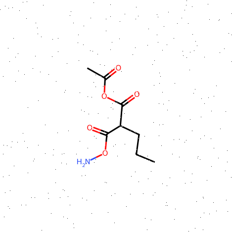 CCCC(C(=O)ON)C(=O)OC(C)=O